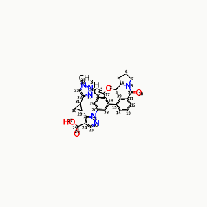 CCOC[C@H]1CCCN1C(=O)c1cccc(-c2cccc(-n3ncc(C(=O)O)c3[C@@H]3C[C@H]3c3cn(C)nn3)c2)c1